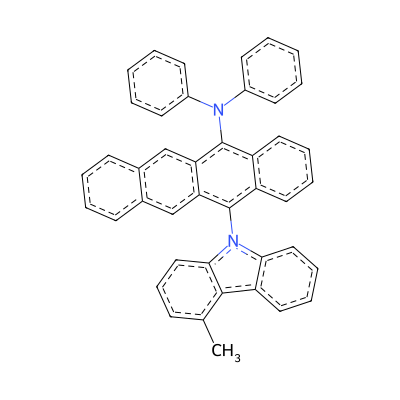 Cc1cccc2c1c1ccccc1n2-c1c2ccccc2c(N(c2ccccc2)c2ccccc2)c2cc3ccccc3cc12